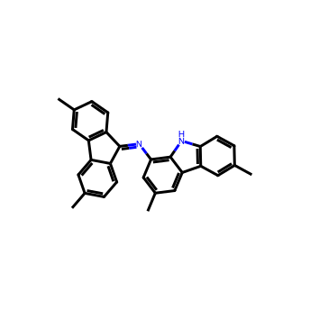 Cc1ccc2c(c1)-c1cc(C)ccc1C2=Nc1cc(C)cc2c1[nH]c1ccc(C)cc12